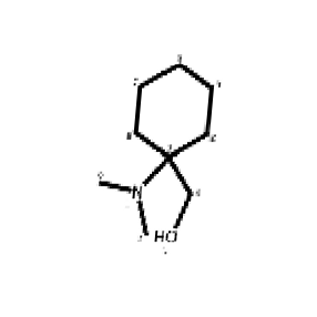 CN(C)C1(CO)CCCCC1